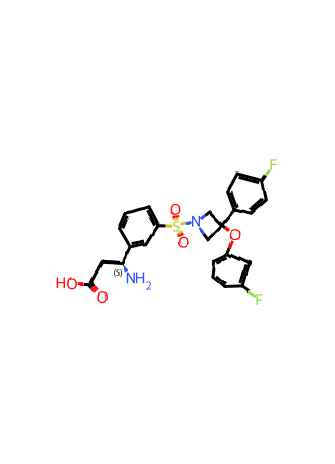 N[C@@H](CC(=O)O)c1cccc(S(=O)(=O)N2CC(Oc3cccc(F)c3)(c3ccc(F)cc3)C2)c1